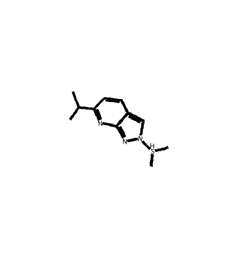 CC(C)c1ccc2cn([SH](C)C)nc2n1